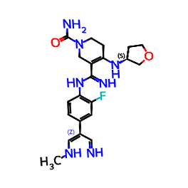 CN/C=C(\C=N)c1ccc(NC(=N)C2=C(N[C@H]3CCOC3)CCN(C(N)=O)C2)c(F)c1